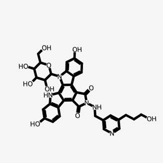 O=C1c2c(c3c4ccc(O)cc4n(C4OC(CO)C(O)C(O)C4O)c3c3[nH]c4cc(O)ccc4c23)C(=O)N1NCc1cncc(CCCO)c1